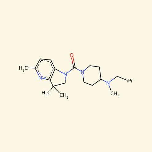 Cc1ccc2c(n1)C(C)(C)CN2C(=O)N1CCC(N(C)CC(C)C)CC1